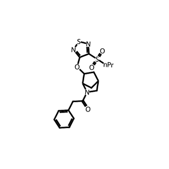 CCCS(=O)(=O)c1nsnc1OC1CC2CC1N(C(=O)Cc1ccccc1)C2